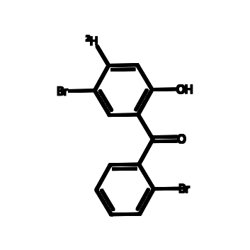 [2H]c1cc(O)c(C(=O)c2ccccc2Br)cc1Br